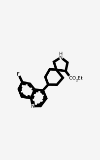 CCOC(=O)C1CNCC12CCC(c1ccnc3ccc(F)cc13)CC2